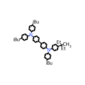 CCC(C)c1ccc(N(c2ccc(-c3ccc(N(c4ccc(C(C)CC)cc4)c4ccc(C(C)(CC)CC)cc4)cc3)cc2)c2ccc(C(C)CC)cc2)cc1